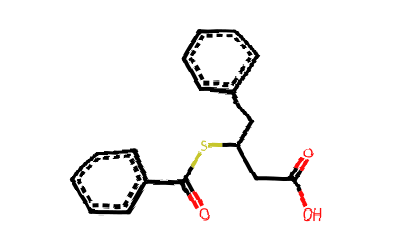 O=C(O)CC(Cc1ccccc1)SC(=O)c1ccccc1